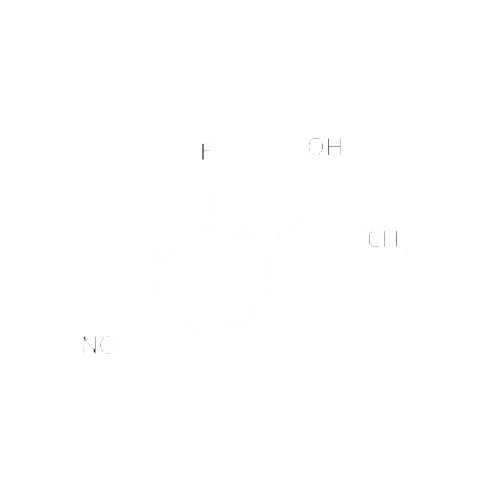 C[C@@H](O)c1ccc(C#N)cc1F